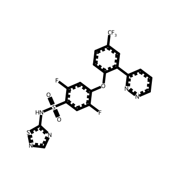 O=S(=O)(Nc1ncns1)c1cc(F)c(Oc2ccc(C(F)(F)F)cc2-c2cccnn2)cc1F